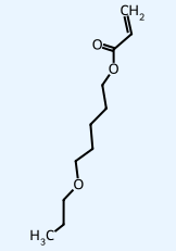 C=CC(=O)OCCCCCOCCC